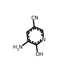 N#Cc1cnc(O)c(N)c1